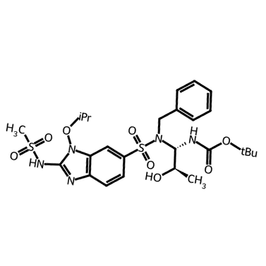 CC(C)On1c(NS(C)(=O)=O)nc2ccc(S(=O)(=O)N(Cc3ccccc3)[C@H](NC(=O)OC(C)(C)C)[C@@H](C)O)cc21